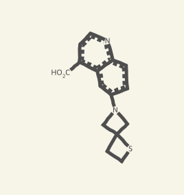 O=C(O)c1ccnc2ccc(N3CC4(CCS4)C3)cc12